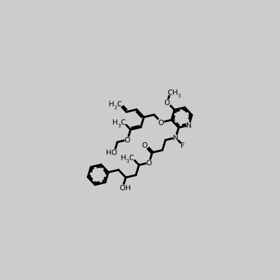 C=C/C=C(\C=C(/C)OCO)COc1c(OC)ccnc1N(F)CCC(=O)OC(C)CC(O)Cc1ccccc1